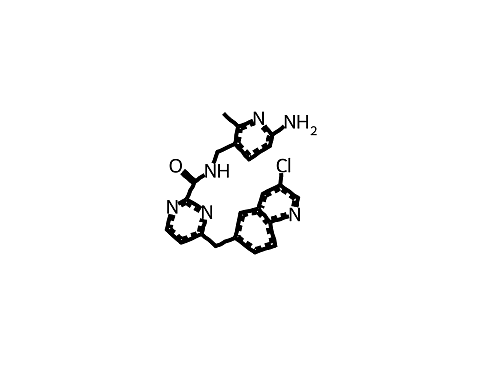 Cc1nc(N)ccc1CNC(=O)c1nccc(Cc2ccc3ncc(Cl)cc3c2)n1